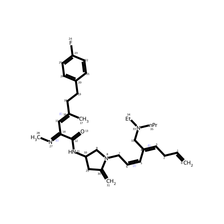 C=CC/C=C(\C=C/CN1CC(NC(=O)C(/C=C(\C)CCc2ccc(F)cc2)=N/C)CC1=C)CN(CC)CCC